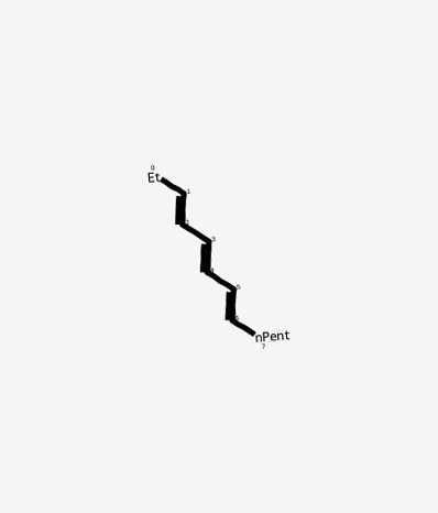 [CH2]CC=CC=CC=CCCCCC